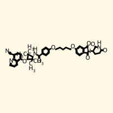 CC1(C)[C@H](NC(=O)c2ccc(OCCCCCOc3ccc4c(c3)C(=O)N(C3CCC(=O)NC3=O)C4=O)cc2)C(C)(C)[C@H]1Oc1ccc(C#N)c2ncccc12